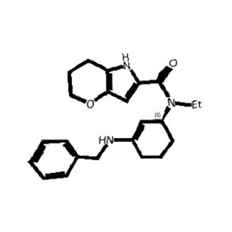 CCN(C(=O)c1cc2c([nH]1)CCCO2)[C@@H]1C=C(NCc2ccccc2)CCC1